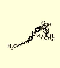 CCCCCCCOc1ccc(-c2cnc(-c3ccc(C[C@H](NC(=O)c4ncc(C(C)(C)C)s4)C(=O)O)cc3)nc2)cc1